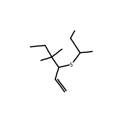 C=CC(SC(C)CC)C(C)(C)CC